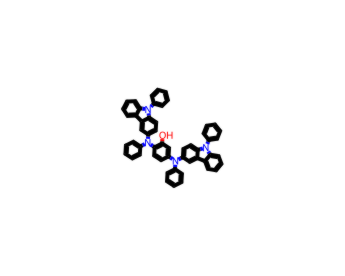 Oc1cc(N(c2ccccc2)c2ccc3c(c2)c2ccccc2n3-c2ccccc2)ccc1N(c1ccccc1)c1ccc2c(c1)c1ccccc1n2-c1ccccc1